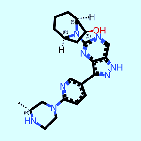 C[C@@H]1CN(c2ccc(-c3n[nH]c4cnc(N5[C@@H]6CCC[C@H]5[C@@H](O)C6)nc34)cn2)CCN1